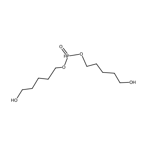 O=[PH](OCCCCCO)OCCCCCO